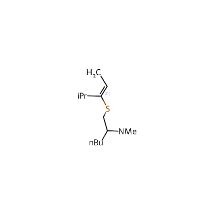 C/C=C(/SCC(CCCC)NC)C(C)C